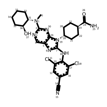 CN(c1ncc2nc(Nc3c(Cl)cc(C#N)cc3Cl)n([C@H]3CC[C@H](C(N)=O)CC3)c2n1)[C@H]1CCCC[C@@H]1O